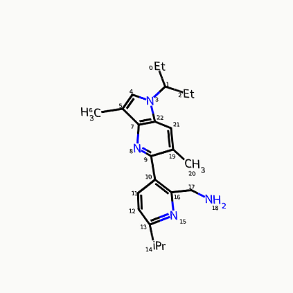 CCC(CC)n1cc(C)c2nc(-c3ccc(C(C)C)nc3CN)c(C)cc21